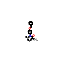 C=C(C)C(=O)N(C)c1ccc(OCc2ccccc2)cc1